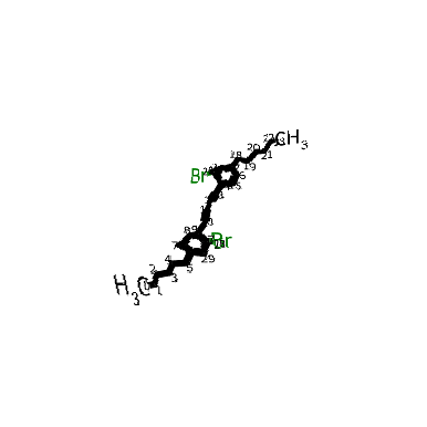 CCCCCCc1ccc(C#CC#Cc2ccc(CCCCCC)cc2Br)c(Br)c1